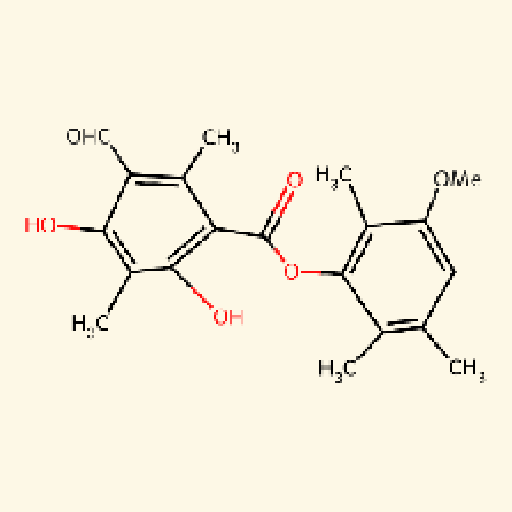 COc1cc(C)c(C)c(OC(=O)c2c(C)c(C=O)c(O)c(C)c2O)c1C